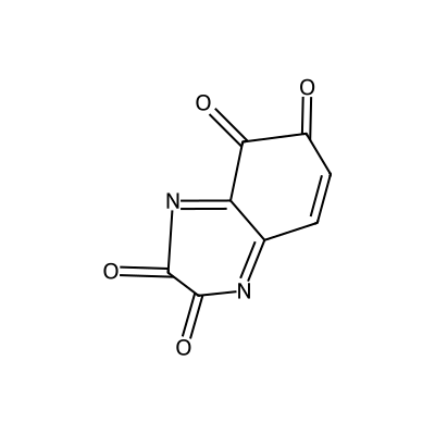 O=c1ccc2nc(=O)c(=O)nc-2c1=O